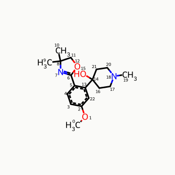 COc1ccc(C2=NC(C)(C)CO2)c(C2(O)CCN(C)CC2)c1